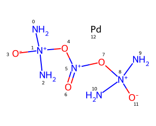 N[N+](N)([O-])O[N+](=O)O[N+](N)(N)[O-].[Pd]